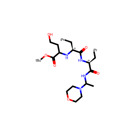 CC(C)C[C@H](NC(=O)[C@H](CC(C)C)NC(CCO)C(=O)OC(C)(C)C)C(=O)NC(C)N1CCOCC1